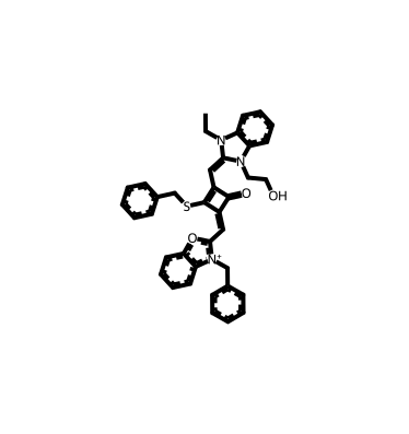 CCN1/C(=C/C2=C(SCc3ccccc3)C(=C\c3oc4ccccc4[n+]3Cc3ccccc3)/C2=O)N(CCO)c2ccccc21